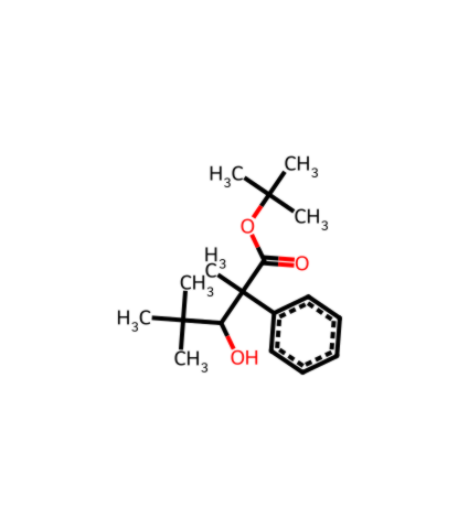 CC(C)(C)OC(=O)C(C)(c1ccccc1)C(O)C(C)(C)C